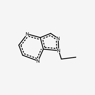 CCn1ncc2nccnc21